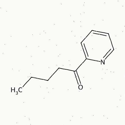 CCCCC(=O)c1ccccn1